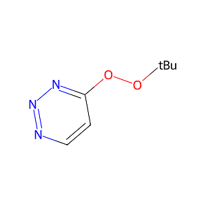 CC(C)(C)OOc1ccnnn1